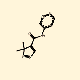 CC1(C)N=NC=C1C(=O)Nc1ccnnc1